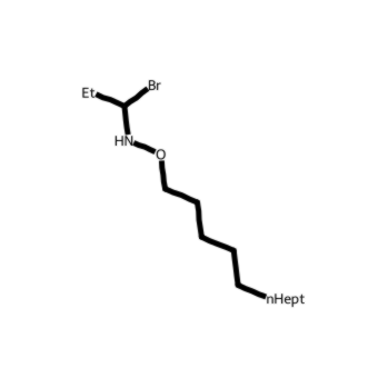 CCCCCCCCCCCCONC(Br)CC